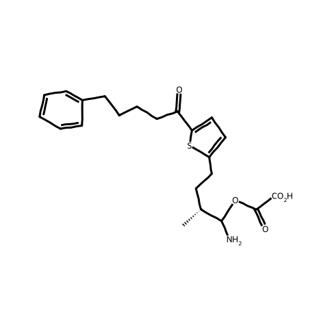 C[C@H](CCc1ccc(C(=O)CCCCc2ccccc2)s1)C(N)OC(=O)C(=O)O